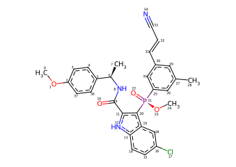 COc1ccc([C@@H](C)NC(=O)c2[nH]c3ccc(Cl)cc3c2[P@@](=O)(OC)c2cc(C)cc(/C=C/C#N)c2)cc1